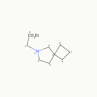 CCOC(=O)CN1CCC2(CCC2)C1